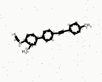 Cc1ccc(C#Cc2ccc(-c3ccc(N=C=S)c(C)c3)cc2)cc1